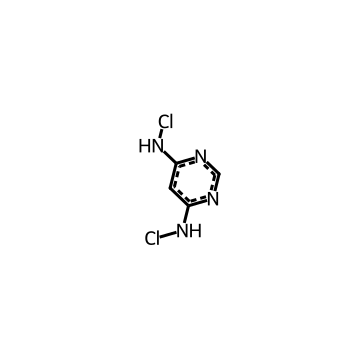 ClNc1cc(NCl)ncn1